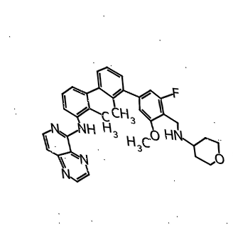 COc1cc(-c2cccc(-c3cccc(Nc4nccc5nccnc45)c3C)c2C)cc(F)c1CNC1CCOCC1